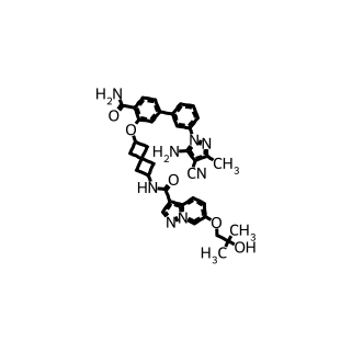 Cc1nn(-c2cccc(-c3ccc(C(N)=O)c(OC4CC5(CC(NC(=O)c6cnn7cc(OCC(C)(C)O)ccc67)C5)C4)c3)c2)c(N)c1C#N